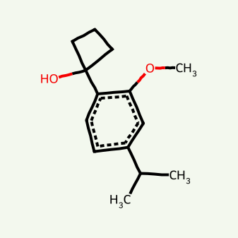 COc1cc(C(C)C)ccc1C1(O)CCC1